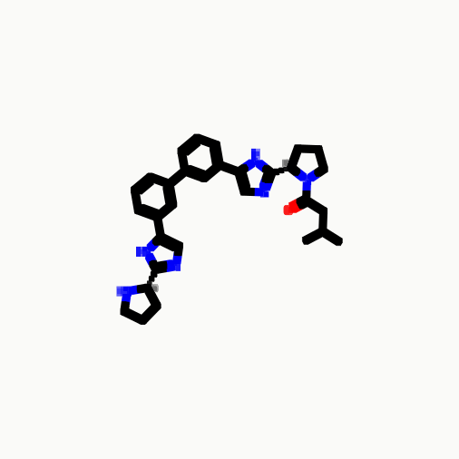 CC(C)CC(=O)N1CCC[C@H]1c1ncc(-c2cccc(-c3cccc(-c4cnc([C@@H]5CCCN5)[nH]4)c3)c2)[nH]1